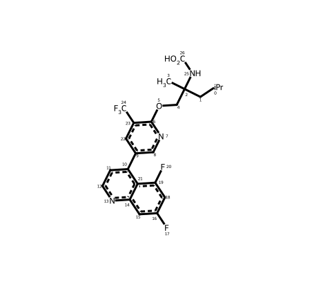 CC(C)CC(C)(COc1ncc(-c2ccnc3cc(F)cc(F)c23)cc1C(F)(F)F)NC(=O)O